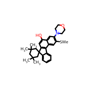 CSc1cc2c3c(cc(O)c2cc1N1CCOCC1)C1(CC(C)(C)CC(C)(C)C1)c1ccccc1-3